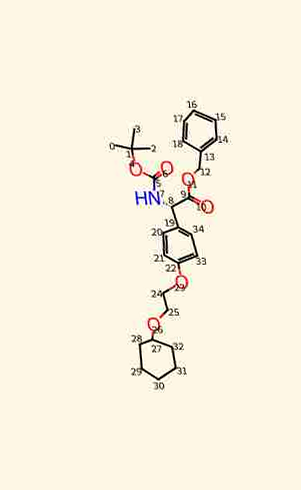 CC(C)(C)OC(=O)N[C@H](C(=O)OCc1ccccc1)c1ccc(OCCOC2CCCCC2)cc1